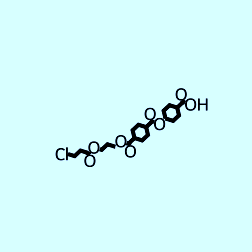 O=C(CCCl)OCCCOC(=O)C1CCC(C(=O)OC2CCC(C(=O)O)CC2)CC1